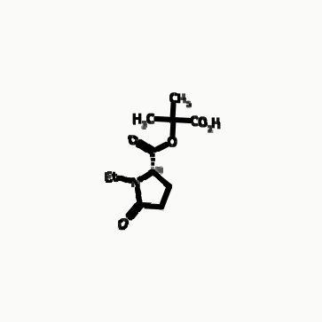 CCN1C(=O)CC[C@H]1C(=O)OC(C)(C)C(=O)O